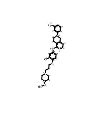 CC(C)(C)ON1CCN(CCCOc2ccc(Nc3ncnc4c3CCN(c3cccc(C(F)(F)F)c3)C4)cc2Cl)CC1